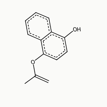 C=C(C)Oc1ccc(O)c2ccccc12